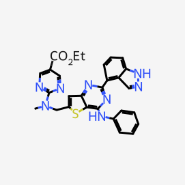 CCOC(=O)c1cnc(N(C)Cc2cc3nc(-c4cccc5[nH]ncc45)nc(Nc4ccccc4)c3s2)nc1